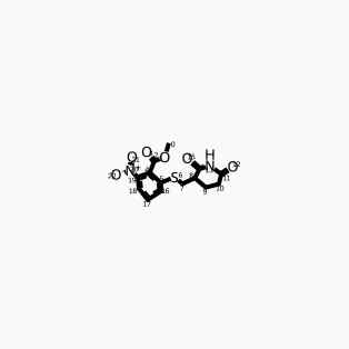 COC(=O)c1c(SCC2CCC(=O)NC2=O)cccc1[N+](=O)[O-]